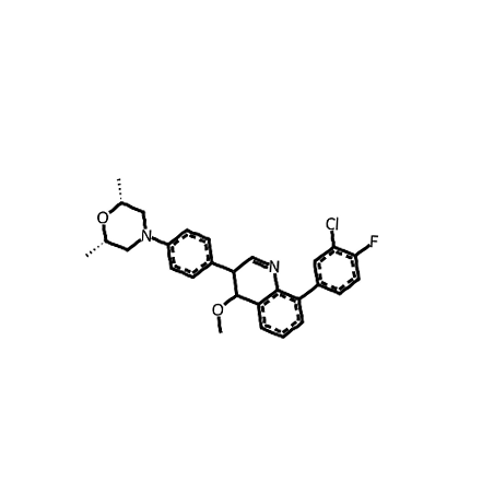 COC1c2cccc(-c3ccc(F)c(Cl)c3)c2N=CC1c1ccc(N2C[C@@H](C)O[C@@H](C)C2)cc1